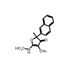 CC(=O)OC1=C(NC(=O)O)OC(C)(c2ccc3ccccc3c2)C1=O